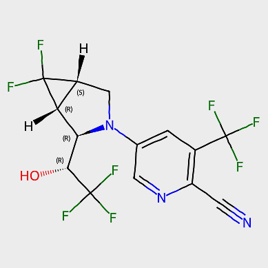 N#Cc1ncc(N2C[C@@H]3[C@H]([C@@H]2[C@@H](O)C(F)(F)F)C3(F)F)cc1C(F)(F)F